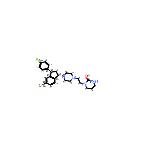 O=C1NCCCN1CCN1CCN([C@H]2C[C@H](c3ccc(F)cc3)c3cc(Cl)ccc32)CC1